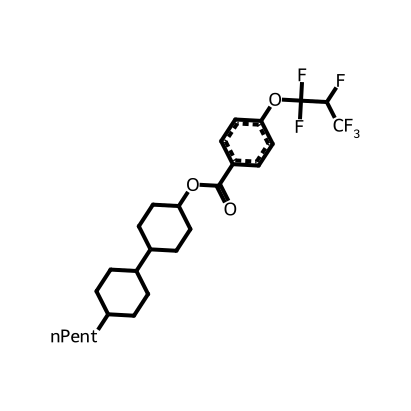 CCCCCC1CCC(C2CCC(OC(=O)c3ccc(OC(F)(F)C(F)C(F)(F)F)cc3)CC2)CC1